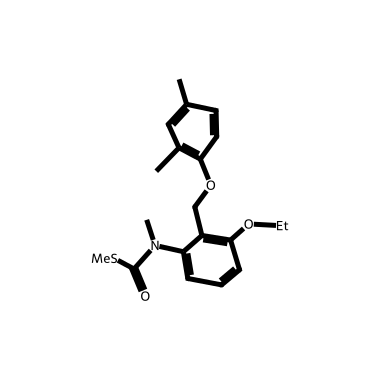 CCOc1cccc(N(C)C(=O)SC)c1COc1ccc(C)cc1C